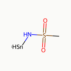 CS(=O)(=O)[NH][SnH]